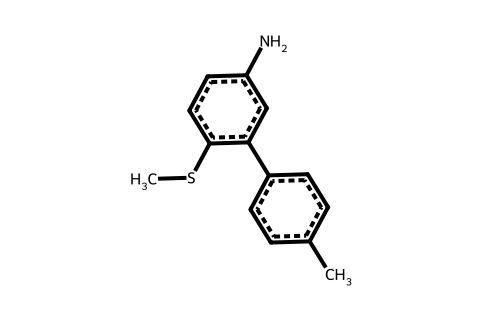 CSc1ccc(N)cc1-c1ccc(C)cc1